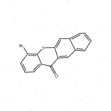 O=c1c2cc3ccccc3cc2sc2c(Br)cccc12